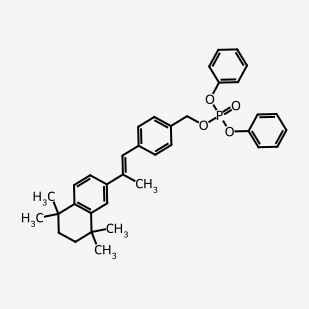 C/C(=C\c1ccc(COP(=O)(Oc2ccccc2)Oc2ccccc2)cc1)c1ccc2c(c1)C(C)(C)CCC2(C)C